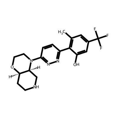 Cc1cc(C(F)(F)F)cc(O)c1-c1ccc(N2CCO[C@@H]3CCNC[C@@H]32)nn1